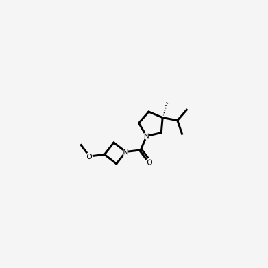 COC1CN(C(=O)N2CC[C@@](C)(C(C)C)C2)C1